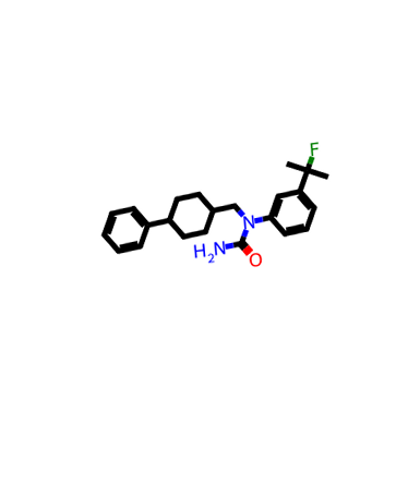 CC(C)(F)c1cccc(N(CC2CCC(c3ccccc3)CC2)C(N)=O)c1